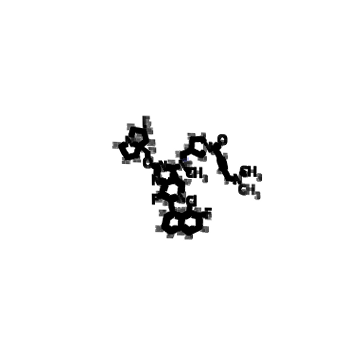 CN(C)CC#CC(=O)N1CCC(/C=[N+](\C)c2nc(OC[C@@]34CCCN3C[C@H](F)C4)nc3c(F)c(-c4cccc5ccc(F)c(Cl)c45)ncc23)C1